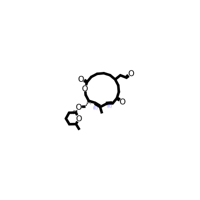 CC1=C\[C@H](CO[C@H]2CCCC(C)O2)COC(=O)CCCCC(CC=O)CCC(=O)\C=C\1